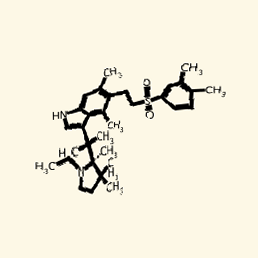 CCN1CCC(C)(C)[C@]1(C)C(C)(C)c1c[nH]c2cc(C)c(CCS(=O)(=O)c3ccc(C)c(C)c3)c(C)c12